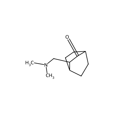 CN(C)CC1C(=O)C2CCC1CC2